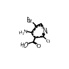 Nc1c(Br)cnc(Cl)c1C(=O)O